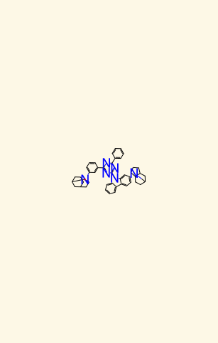 c1ccc(-c2nc(-c3cccc(N4C5CC6CC(C5)CC4C6)c3)nc(-n3c4ccccc4c4ccc(N5C6CCC7CC5CC7C6)cc43)n2)cc1